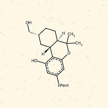 CCCCCc1cc(O)c2c(c1)OC(C)(C)[C@@H]1CC[C@@H](CO)C[C@@H]21